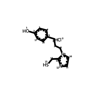 Cl.Oc1ccc(CCCn2ccnc2CS)cc1